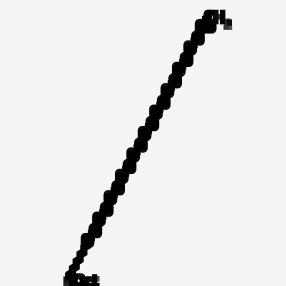 C=CC(=O)OCCOCCOCCOCCOCCOCCOCCOCCOCCOCCOCCOCCOCCOCCOCCOCCOCCOCCOCCOCCOCCCCCCCCC=CCCCCCCCC